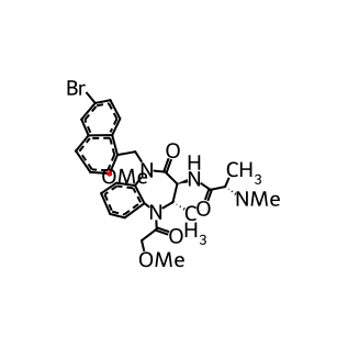 CN[C@@H](C)C(=O)N[C@@H]1C(=O)N(Cc2c(OC)ccc3cc(Br)ccc23)c2ccccc2N(C(=O)COC)[C@H]1C